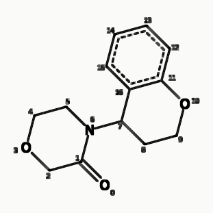 O=C1COCCN1C1CCOc2ccccc21